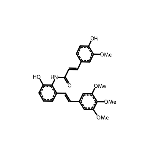 COc1cc(/C=C/C(=O)Nc2c(O)cccc2/C=C/c2cc(OC)c(OC)c(OC)c2)ccc1O